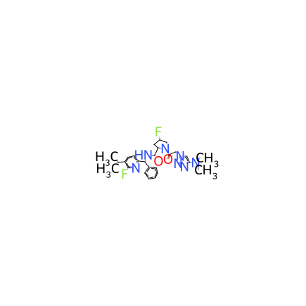 CC(C)c1ccc(C(NC(=O)C2CC(F)CN2C(=O)Cn2cc(N(C)C)nn2)c2ccccc2)nc1F